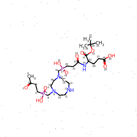 CC(=O)CCP(=O)(O)CN1CCNCCN(CP(=O)(O)CCC(=O)NC(CCC(=O)O)C(=O)OC(C)(C)C)CC1